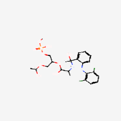 CCOP(=O)(O)OCC(COC(C)O)OC(O)C(CC)NC(C)(O)c1ccccc1Nc1c(Cl)cccc1Cl